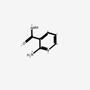 CNC(=O)c1cccnc1N